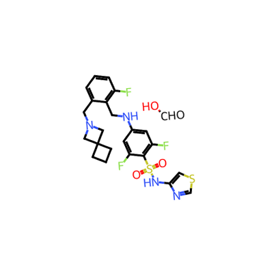 O=CO.O=S(=O)(Nc1cscn1)c1c(F)cc(NCc2c(F)cccc2CN2CC3(CCC3)C2)cc1F